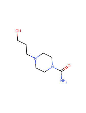 NC(=O)N1CCN(CCCO)CC1